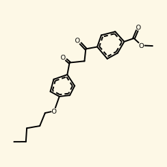 CCCCCOc1ccc(C(=O)CC(=O)c2ccc(C(=O)OC)cc2)cc1